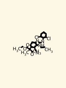 CC=Cn1c(Nc2c(Cl)cccc2Cl)nc2ccc(C(C)(C(C)=O)C(=O)OCC)c(C#N)c21